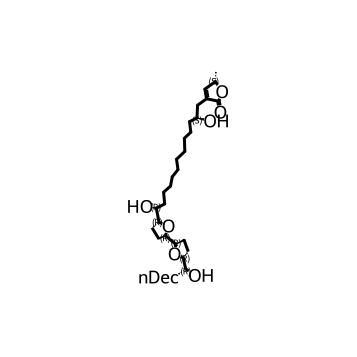 CCCCCCCCCC[C@@H](O)[C@H]1CC[C@H]([C@H]2CC[C@H]([C@H](O)CCCCCCCCCC[C@H](O)CC3=C[C@H](C)OC3=O)O2)O1